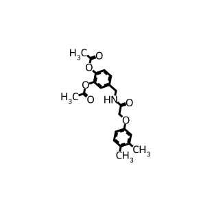 CC(=O)Oc1ccc(CNC(=O)COc2ccc(C)c(C)c2)cc1OC(C)=O